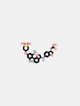 Cc1cc(OC2CCS(O)(O)CC2)cc(C)c1-c1cccc2c1OC[C@H]2Nc1ccc2c(c1)OC[C@H]2CC(=O)O